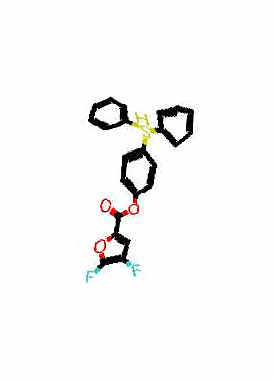 O=C(Oc1ccc([SH](c2ccccc2)c2ccccc2)cc1)c1cc(F)c(F)o1